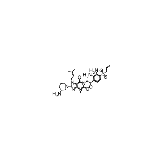 C=CCS(=O)(=O)c1ccc(C(=O)Cn2c(=O)c3c(nc(N4CCCC(N)C4)n3CC=C(C)C)n(C)c2=O)c(N)c1N